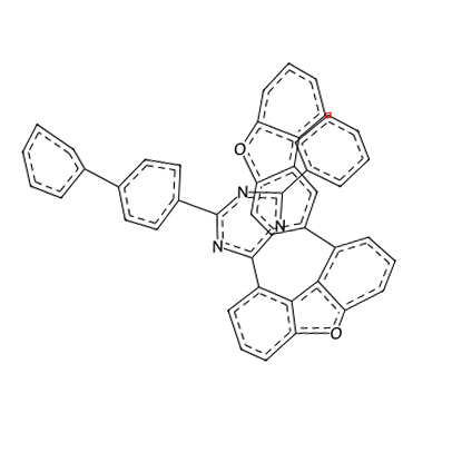 c1ccc(-c2ccc(-c3nc(-c4ccccc4)nc(-c4cccc5oc6cccc(-c7ccc8oc9ccccc9c8c7)c6c45)n3)cc2)cc1